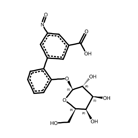 O=Nc1cc(C(=O)O)cc(-c2ccccc2O[C@@H]2O[C@H](CO)[C@H](O)[C@H](O)[C@H]2O)c1